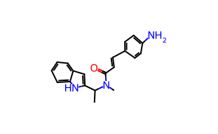 CC(c1cc2ccccc2[nH]1)N(C)C(=O)C=Cc1ccc(N)cc1